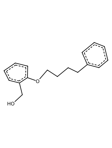 OCc1ccccc1OCCCCc1ccccc1